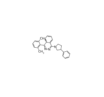 Cc1cccc(C)c1-c1nnc(N2CCC(c3ccccc3)C2)c2ccccc12